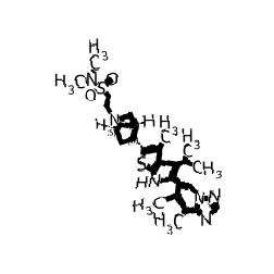 Cc1c(-c2[nH]c3sc([C@@H]4C[C@@H]5C[C@H]4CN5CCS(=O)(=O)N(C)C)c(C)c3c2C(C)C)cn2ncnc2c1C